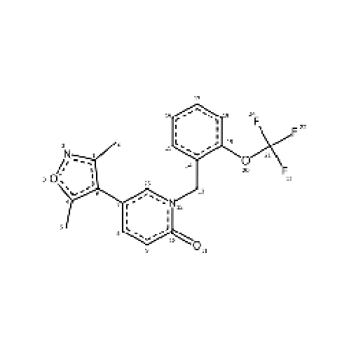 Cc1noc(C)c1-c1ccc(=O)n(Cc2ccccc2OC(F)(F)F)c1